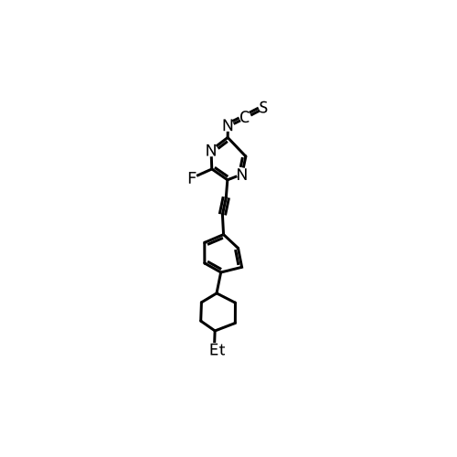 CCC1CCC(c2ccc(C#Cc3ncc(N=C=S)nc3F)cc2)CC1